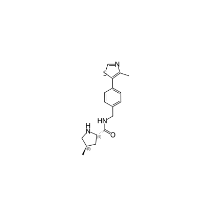 Cc1ncsc1-c1ccc(CNC(=O)[C@@H]2C[C@@H](C)CN2)cc1